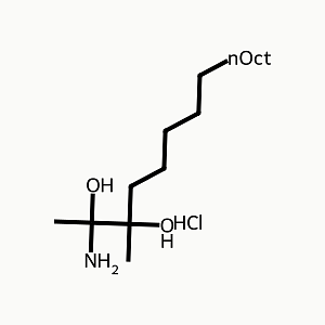 CCCCCCCCCCCCCC(C)(O)C(C)(N)O.Cl